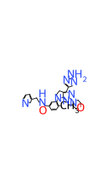 Cc1ccc(C(=O)NCCc2cccnc2)cc1N1CCc2c(-c3cnc(N)nc3)nc(N3CCOCC3)nc21